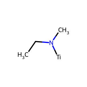 CC[N](C)[Ti]